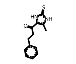 Cc1[nH]c(=S)[nH]c1C(=O)CCc1ccccc1